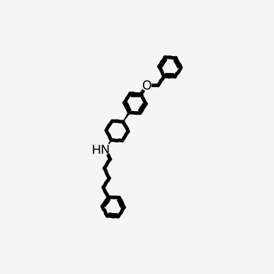 c1ccc(CCCCN[C@H]2CC[C@H](c3ccc(OCc4ccccc4)cc3)CC2)cc1